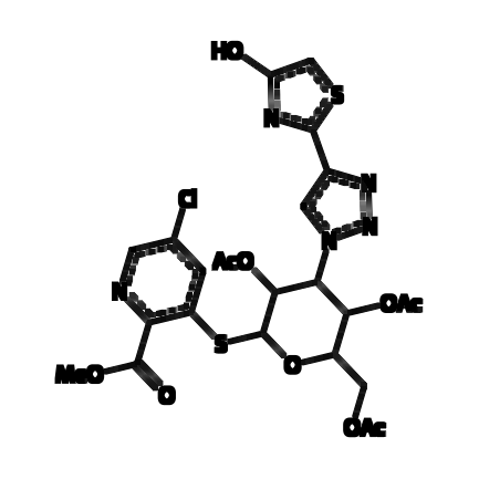 COC(=O)c1ncc(Cl)cc1SC1OC(COC(C)=O)C(OC(C)=O)C(n2cc(-c3nc(O)cs3)nn2)C1OC(C)=O